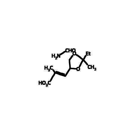 CCC1(C)OCC(C=C(C)C(=O)O)O1.NC=O